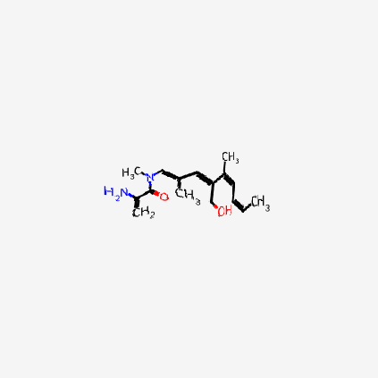 C=C(N)C(=O)N(C)/C=C(C)/C=C(CO)/C(C)=C\C=C/C